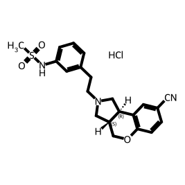 CS(=O)(=O)Nc1cccc(CCN2C[C@H]3COc4ccc(C#N)cc4[C@@H]3C2)c1.Cl